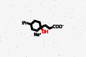 CC(C)C1CCC(O)(CCC(=O)[O-])CC1.[Na+]